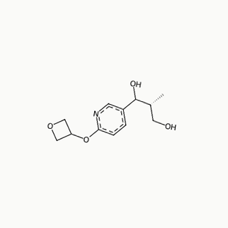 C[C@H](CO)C(O)c1ccc(OC2COC2)nc1